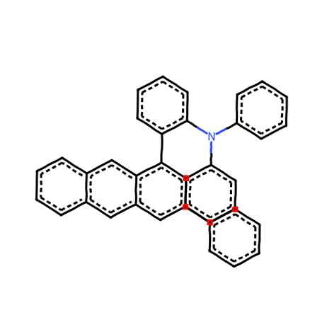 c1ccc(-c2cc(-c3ccccc3N(c3ccccc3)c3ccccc3)c3cc4ccccc4cc3c2)cc1